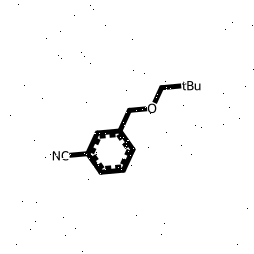 CC(C)(C)COCc1cccc(C#N)c1